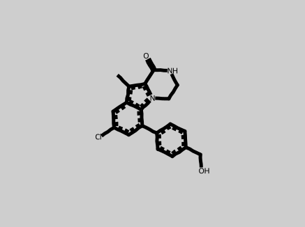 Cc1c2n(c3c(-c4ccc(CO)cc4)cc(Cl)cc13)CCNC2=O